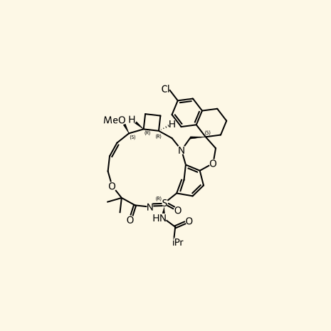 CO[C@@H]1C=CCOC(C)(C)C(=O)N=[S@](=O)(NC(=O)C(C)C)c2ccc3c(c2)N(C[C@@H]2CC[C@H]21)C[C@@]1(CCCc2cc(Cl)ccc21)CO3